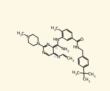 C=C/N=C1/C=NC(N2CCN(C)CC2)=N/C1=C(/N)Nc1cc(C(=O)NCc2ccc(C(C)(C)C)cc2)ccc1C